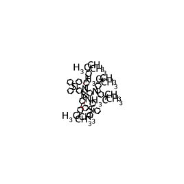 CC(C)(C)c1ccc(-c2ccc(N3c4cc([Si](c5ccccc5)(c5ccccc5)c5ccccc5)ccc4B4c5ccc(-c6ccc(C(C)(C)C)cc6)cc5N(c5cccc([Si](c6ccccc6)(c6ccccc6)c6ccccc6)c5)c5cc(-n6c7ccc(C(C)(C)C)cc7c7cc(C(C)(C)C)ccc76)cc3c54)cc2)cc1